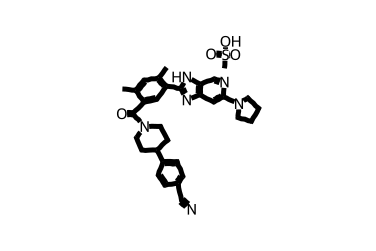 CS(=O)(=O)O.Cc1cc(C)c(-c2nc3cc(N4CCCC4)ncc3[nH]2)cc1C(=O)N1CCC(c2ccc(C#N)cc2)CC1